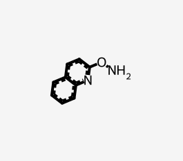 NOc1ccc2ccccc2n1